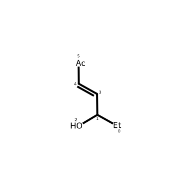 CCC(O)C=CC(C)=O